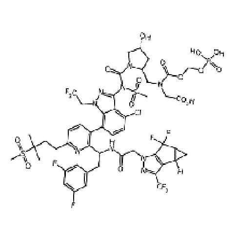 CC(C)(CCc1ccc(-c2ccc(Cl)c3c(N(C(=O)N4C[C@H](O)C[C@H]4CN(CC(=O)O)C(=O)OCOP(=O)(O)O)S(C)(=O)=O)nn(CC(F)(F)F)c23)c([C@H](Cc2cc(F)cc(F)c2)NC(=O)Cn2nc(C(F)(F)F)c3c2C(F)(F)C2C[C@H]32)n1)S(C)(=O)=O